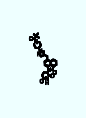 CC(C)(C)C(=O)N1CCC(n2cc(Cc3ccc4c5c(cccc35)C(=O)N4C3CCC(=O)NC3=O)cn2)CC1